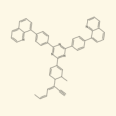 C#C/C(=C\C=C/C)C1C=CC(c2nc(-c3ccc(-c4cccc5cccnc45)cc3)nc(-c3ccc(-c4cccc5cccnc45)cc3)n2)=CC1C